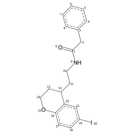 O=C(Cc1ccccc1)NCCC1CCOc2ccc(I)cc21